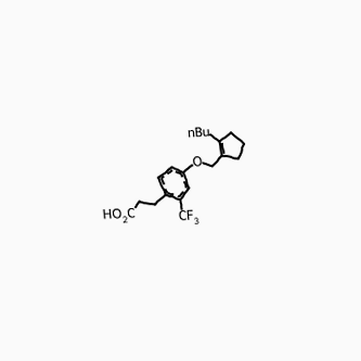 CCCCC1=C(COc2ccc(CCC(=O)O)c(C(F)(F)F)c2)CCC1